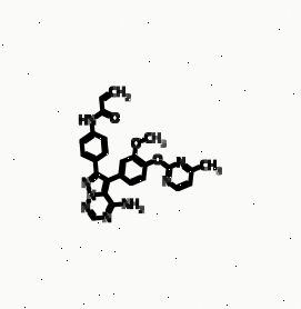 C=CC(=O)Nc1ccc(-c2nn3ncnc(N)c3c2-c2ccc(Oc3nccc(C)n3)c(OC)c2)cc1